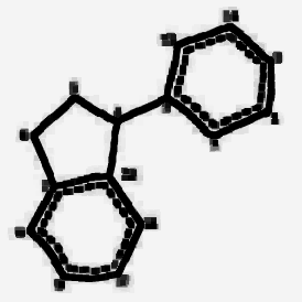 c1ccc(C2CCc3ccccc32)cc1